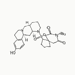 CCC(C)N1C(=O)CC2(CCCC2S(=O)(=O)N2CCC[C@@H]3CN4CCc5cc(O)ccc5[C@@H]4C[C@@H]32)CC1=O